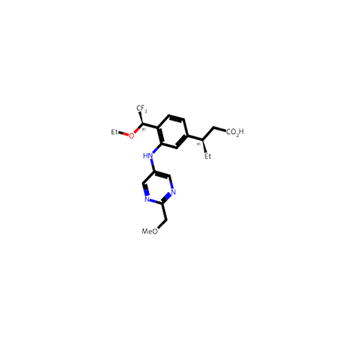 CCO[C@H](c1ccc([C@H](CC)CC(=O)O)cc1Nc1cnc(COC)nc1)C(F)(F)F